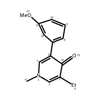 CCc1cn(C)cc(-c2cccc(OC)c2)c1=O